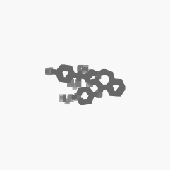 CN1CCC(OC2c3ccccc3CCn3cc(C(C)(C)c4ccc(Cl)cc4)nc32)CC1